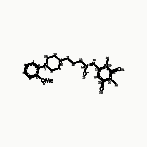 COc1ccccc1N1CCN(CCC[N+]([O-])=Nc2cc(=O)n(C)c(=O)n2C)CC1